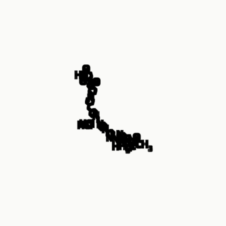 CN(C)C(=O)c1cc2cnc(Nc3ccc(N4CCN(CCN5CCC(CC6CCN(c7ccc8c(c7)CN(C7CCC(=O)NC7=O)C8=O)CC6)CC5)CC4)cn3)nc2n1C1CCCC1.Cl.Cl